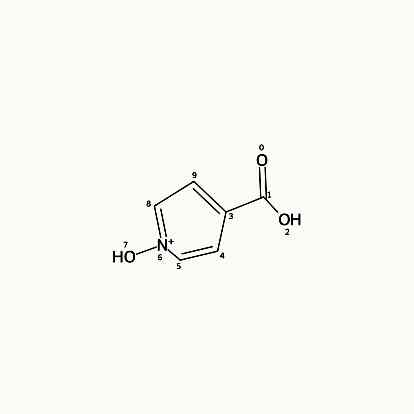 O=C(O)c1cc[n+](O)cc1